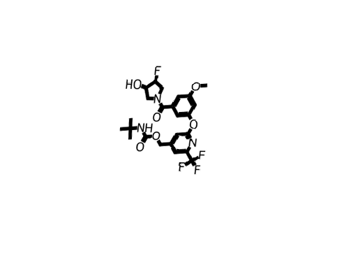 COc1cc(Oc2cc(COC(=O)NC(C)(C)C)cc(C(F)(F)F)n2)cc(C(=O)N2CC(O)C(F)C2)c1